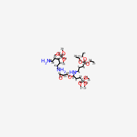 CCO[Si](CCCNC(CC[Si](OC)(OC)OC)OCC1CO1)(OCC)OCC.CO[Si](OC)(OC)C(CCN)CCN